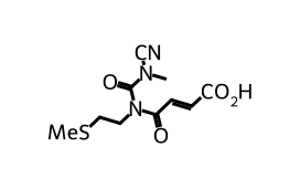 CSCCN(C(=O)C=CC(=O)O)C(=O)N(C)C#N